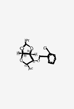 CC(=O)[C@H]1O[C@@H]2OC(C(C)C)O[C@@H]2[C@H]1OCc1ccccc1Cl